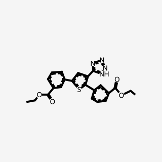 CCOC(=O)c1cccc(-c2cc(-c3nnn[nH]3)c(-c3cccc(C(=O)OCC)c3)s2)c1